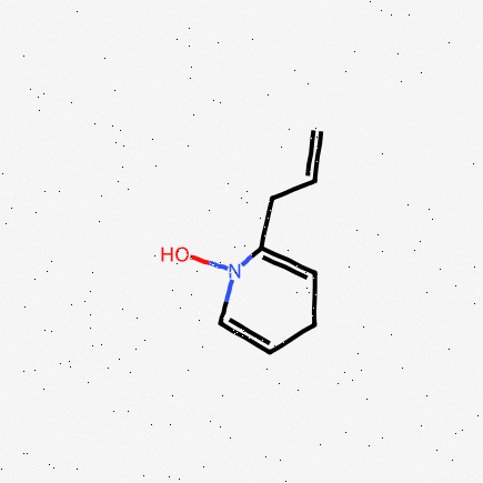 C=CCC1=CCC=CN1O